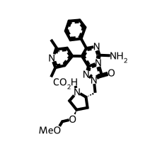 COCO[C@H]1C[C@@H](Cn2nc3c(-c4cc(C)nc(C)c4)c(-c4ccccc4)nc(N)n3c2=O)N(C(=O)O)C1